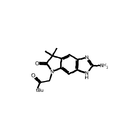 CC(C)(C)C(=O)CN1C(=O)C(C)(C)c2cc3nc(N)[nH]c3cc21